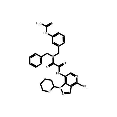 CC(=O)Nc1cccc(CN(Cc2ccccc2)C(=O)C(=O)Nc2cnc(N)c3cnn(C4CCCCO4)c23)c1